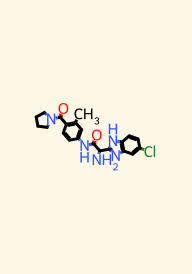 Cc1cc(NC(=O)C(N)c2nc3cc(Cl)ccc3[nH]2)ccc1C(=O)N1CCCC1